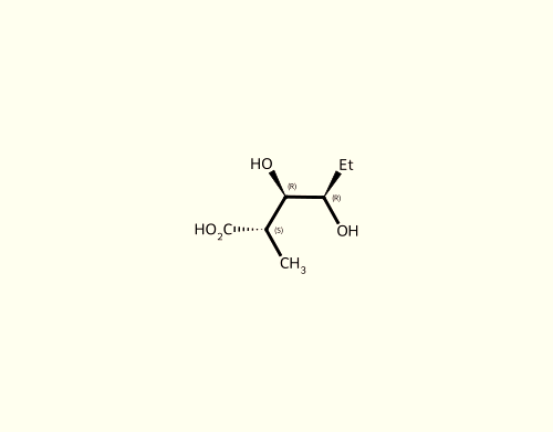 CC[C@@H](O)[C@H](O)[C@H](C)C(=O)O